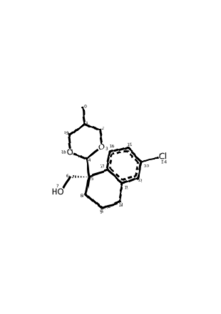 CC1COC([C@]2(CO)CCCc3cc(Cl)ccc32)OC1